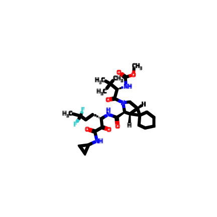 COC(=O)N[C@H](C(=O)N1C[C@H]2[C@@H]([C@H]1C(=O)N[C@@H](CCC(C)(F)F)C(=O)C(=O)NC1CC1)C21CCCCC1)C(C)(C)C